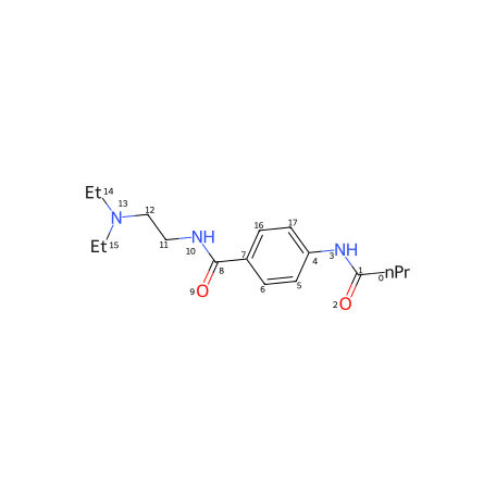 CCCC(=O)Nc1ccc(C(=O)NCCN(CC)CC)cc1